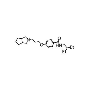 CCC(CC)CNC(=O)c1ccc(OCCCN2CC3CCCC3C2)cc1